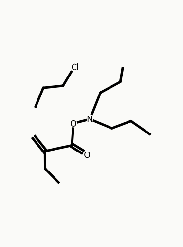 C=C(CC)C(=O)ON(CCC)CCC.CCCCl